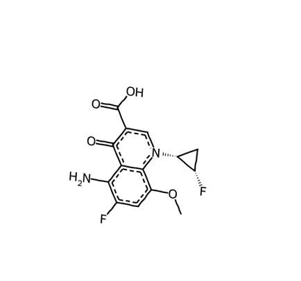 COc1cc(F)c(N)c2c(=O)c(C(=O)O)cn([C@@H]3C[C@@H]3F)c12